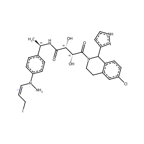 C[C@@H](NC(=O)[C@H](O)[C@@H](O)C(=O)N1CCc2cc(Cl)ccc2C1c1cc[nH]n1)c1ccc(N(N)/C=C\CI)cc1